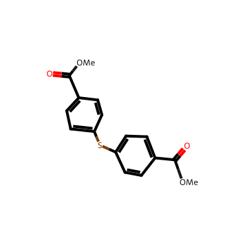 COC(=O)c1ccc(Sc2ccc(C(=O)OC)cc2)cc1